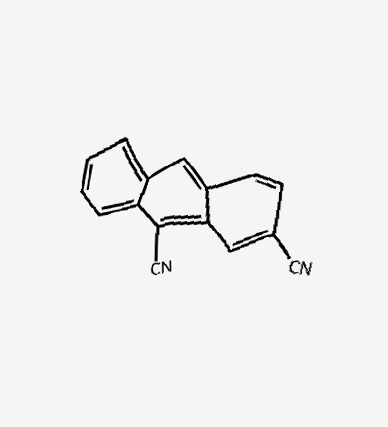 N#Cc1ccc2cc3ccccc3c(C#N)c2c1